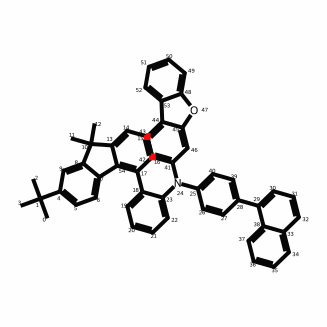 CC(C)(C)c1ccc2c(c1)C(C)(C)c1cccc(-c3ccccc3N(c3ccc(-c4cccc5ccccc45)cc3)c3ccc4c(c3)oc3ccccc34)c1-2